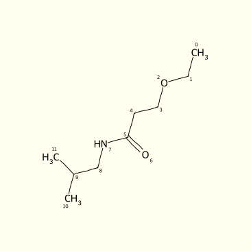 CCOCCC(=O)NCC(C)C